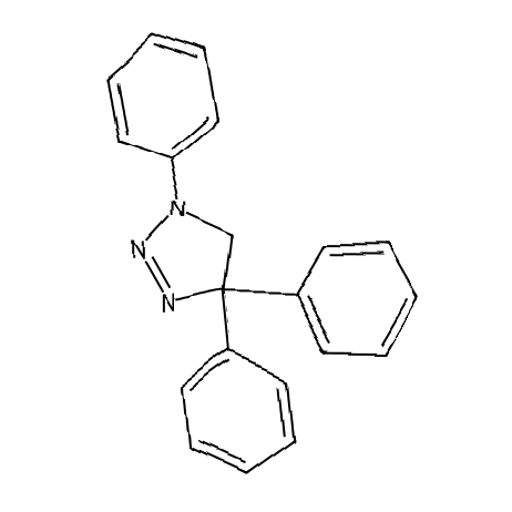 c1ccc(N2CC(c3ccccc3)(c3ccccc3)N=N2)cc1